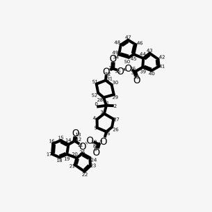 CC(C)(C1CCC(OC(=O)OOC(=O)c2ccccc2-c2ccccc2)CC1)C1CCC(OC(=O)OOC(=O)c2ccccc2-c2ccccc2)CC1